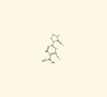 CC(=O)N(C(C)=O)c1ncc(C2CCCC2=O)cc1F